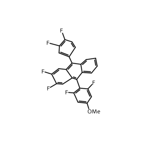 COc1cc(F)c(-c2c3ccccc3c(-c3ccc(F)c(F)c3)c3cc(F)c(F)cc23)c(F)c1